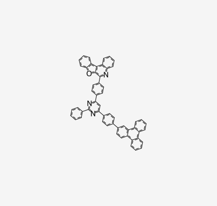 c1ccc(-c2nc(-c3ccc(-c4ccc5c6ccccc6c6ccccc6c5c4)cc3)cc(-c3ccc(-c4nc5ccccc5c5c4oc4ccccc45)cc3)n2)cc1